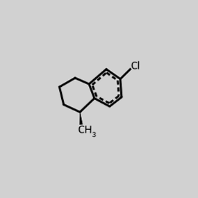 C[C@H]1CCCc2cc(Cl)ccc21